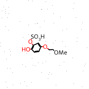 COCCOc1ccc(O)c(OS(=O)(=O)O)c1